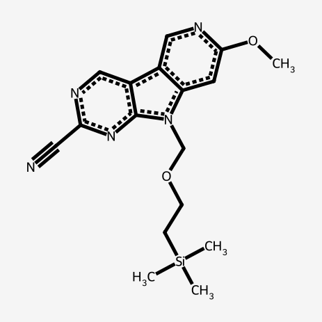 COc1cc2c(cn1)c1cnc(C#N)nc1n2COCC[Si](C)(C)C